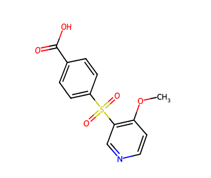 COc1ccncc1S(=O)(=O)c1ccc(C(=O)O)cc1